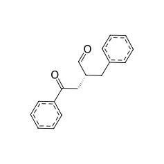 O=C[C@@H](CC(=O)c1ccccc1)Cc1ccccc1